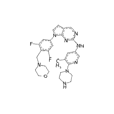 Cc1cc(Nc2ncc3ccn(-c4cc(F)c(CN5CCOCC5)c(F)c4)c3n2)cnc1N1CCNCC1